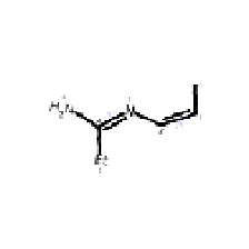 C/C=C\N=C(\N)CC